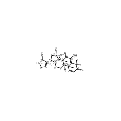 CC1(C)C(=O)C=C[C@@]2(C)C1=C(O)C(=O)[C@]1(C)[C@@H]2CC[C@@]2(C)[C@H](C3=CCNC3=O)C[C@H]3O[C@]321